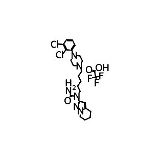 NC(=O)N(CCCCCN1CCN(c2cccc(Cl)c2Cl)CC1)c1cc2n(n1)CCCC2.O=C(O)C(F)(F)F